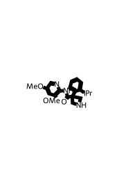 COc1cnc(NC(=O)C2(c3ccccc3C(C)C)CNC2)c(OC)c1